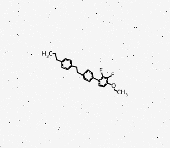 CCCc1ccc(CCc2ccc(-c3ccc(OCC)c(F)c3F)cc2)cc1